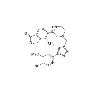 COc1cc(-n2cc(CN3CCN[C@H](c4ccc5c(c4C)COC5=O)C3)nn2)ncc1C#N